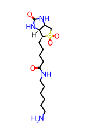 NCCCCCCNC(=O)CCCC[C@H]1[C@H]2NC(=O)NC2CS1(=O)=O